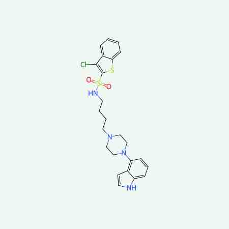 O=S(=O)(NCCCCN1CCN(c2cccc3[nH]ccc23)CC1)c1sc2ccccc2c1Cl